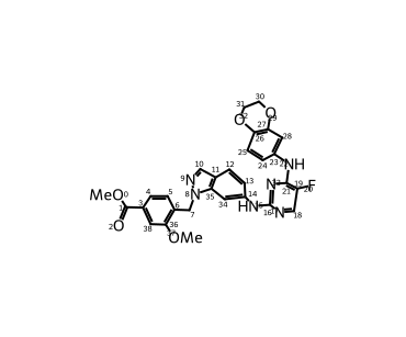 COC(=O)c1ccc(Cn2ncc3ccc(Nc4ncc(F)c(Nc5ccc6c(c5)OCCO6)n4)cc32)c(OC)c1